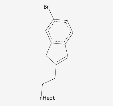 CCCCCCCCCC1=Cc2ccc(Br)cc2C1